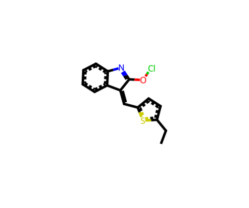 CCc1ccc(C=C2C(OCl)=Nc3ccccc32)s1